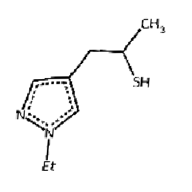 CCn1cc(CC(C)S)cn1